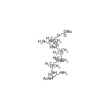 CC(=O)N[C@@H](CCCCN)C(=O)NCCOC(C)(C)CCC(=O)NC(C)(C)CCOC(C)(C)CCC(=O)NC(CCCCN)C(=O)NC(C)(C)CCOCCC(=O)OCC(C)C